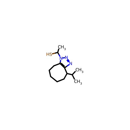 CC(C)C1CCCCCc2c1nnn2C(C)S